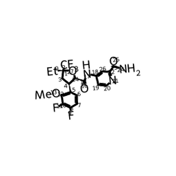 CC[C@]1(C(F)(F)F)C[C@H](c2ccc(F)c(F)c2OC)[C@H](C(=O)Nc2ccnc(C(N)=O)c2)O1